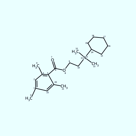 Cc1cc(C)c(C(=O)OCC[N+](C)(C)C2CCCCC2)c(C)c1